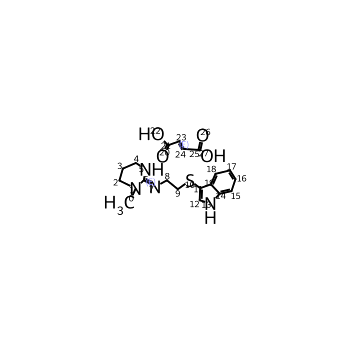 CN1CCCN/C1=N\CCSc1c[nH]c2ccccc12.O=C(O)/C=C/C(=O)O